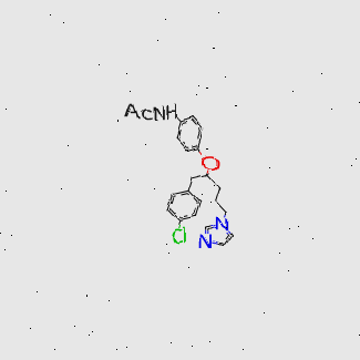 CC(=O)Nc1ccc(OC(CCCn2ccnc2)Cc2ccc(Cl)cc2)cc1